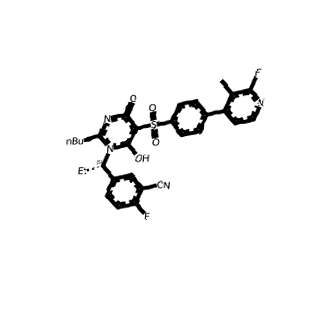 CCCCc1nc(=O)c(S(=O)(=O)c2ccc(-c3ccnc(F)c3C)cc2)c(O)n1[C@@H](CC)c1ccc(F)c(C#N)c1